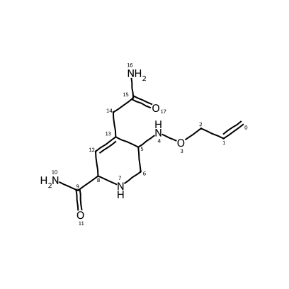 C=CCONC1CNC(C(N)=O)C=C1CC(N)=O